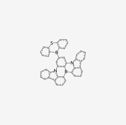 c1ccc2c(c1)Sc1ccccc1B2c1cc2c3c(c1)-n1c4ccccc4c4cccc(c41)B3c1cccc3c4ccccc4n-2c13